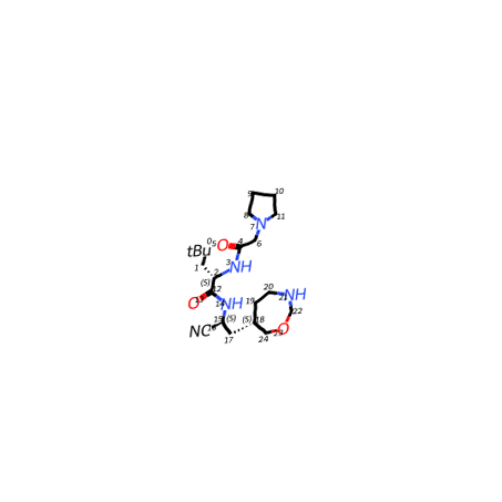 CC(C)(C)C[C@H](NC(=O)CN1CCCC1)C(=O)N[C@H](C#N)C[C@@H]1CCNCOC1